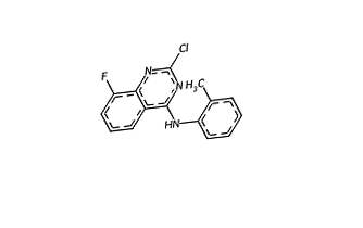 Cc1ccccc1Nc1nc(Cl)nc2c(F)cccc12